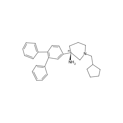 N[C@@]1(c2ccc(-c3ccccc3)c(-c3ccccc3)c2)CCCN(CC2CCCC2)C1